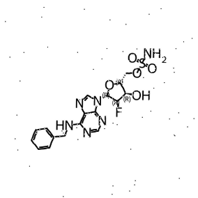 NS(=O)(=O)OC[C@H]1O[C@@H](n2cnc3c(NCc4ccccc4)ncnc32)[C@H](F)[C@@H]1O